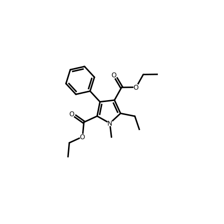 CCOC(=O)c1c(-c2ccccc2)c(C(=O)OCC)n(C)c1CC